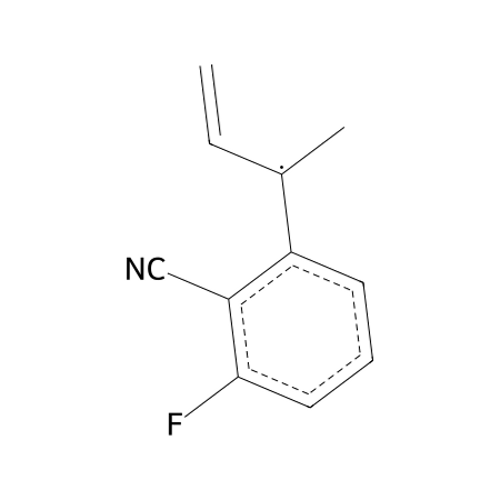 C=C[C](C)c1cccc(F)c1C#N